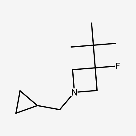 CC(C)(C)C1(F)CN(CC2CC2)C1